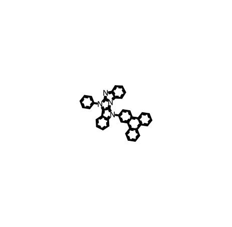 c1ccc(-n2c3c4ccccc4n(-c4ccc5c6ccccc6c6ccccc6c5c4)c3n3c4ccccc4nc23)cc1